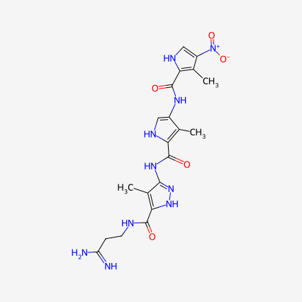 Cc1c(NC(=O)c2[nH]cc([N+](=O)[O-])c2C)c[nH]c1C(=O)Nc1n[nH]c(C(=O)NCCC(=N)N)c1C